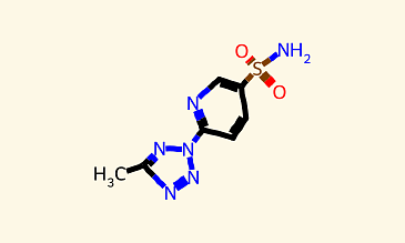 Cc1nnn(-c2ccc(S(N)(=O)=O)cn2)n1